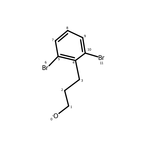 [O]CCCc1c(Br)cccc1Br